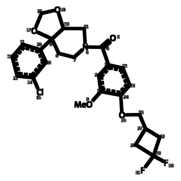 COc1cc(C(=O)N2CCC3(c4cccc(Cl)c4)OCOC3C2)ccc1OCC1CC(F)(F)C1